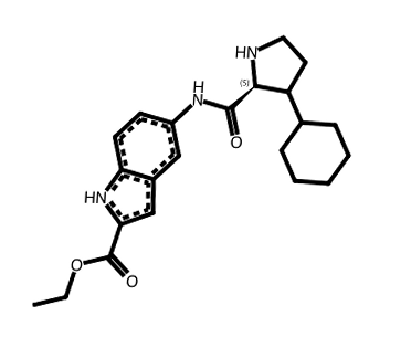 CCOC(=O)c1cc2cc(NC(=O)[C@H]3NCCC3C3CCCCC3)ccc2[nH]1